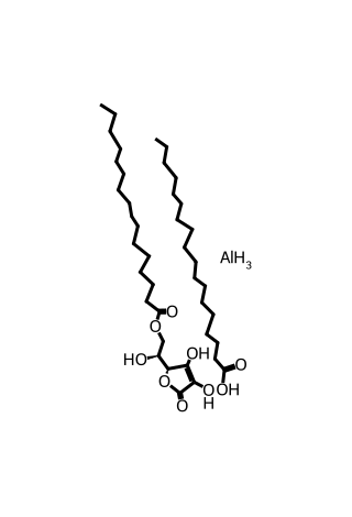 CCCCCCCCCCCCCCCC(=O)OC[C@H](O)[C@H]1OC(=O)C(O)=C1O.CCCCCCCCCCCCCCCCCC(=O)O.[AlH3]